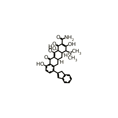 CN(C)C1C(O)=C(C(N)=O)C(=O)[C@]2(O)C(O)=C3C(=O)c4c(O)ccc(C5=Cc6ccccc6C5)c4C[C@@H]3C[C@H]12